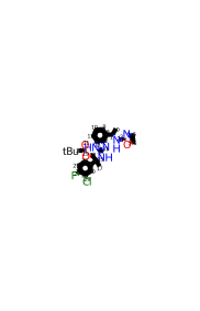 CC(Nc1ncco1)c1cccc2[nH]c(NC(C)(COC(=O)C(C)(C)C)c3ccc(F)c(Cl)c3)nc12